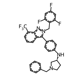 Fc1cc(F)c(Cn2nc3c(C(F)(F)F)cccc3c2-c2ccc(N[C@H]3CCN(Cc4ccccc4)C3)cc2)c(F)c1